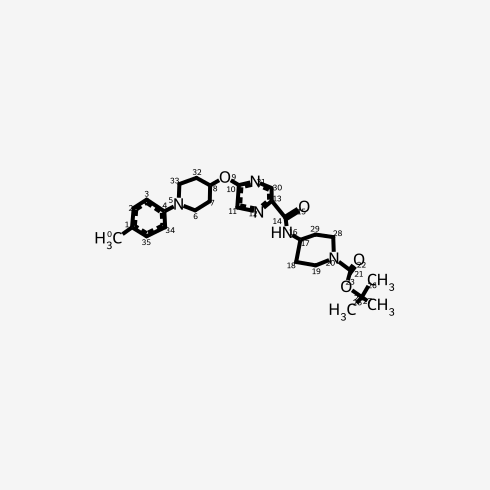 Cc1ccc(N2CCC(Oc3cnc(C(=O)NC4CCN(C(=O)OC(C)(C)C)CC4)cn3)CC2)cc1